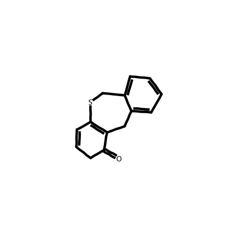 O=C1CC=CC2=C1Cc1ccccc1CS2